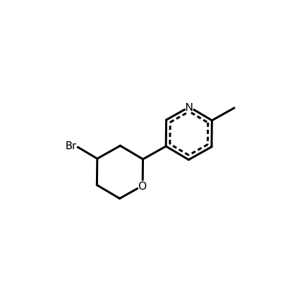 Cc1ccc(C2CC(Br)CCO2)cn1